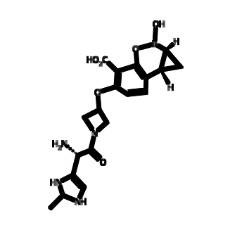 CC1NC=C([C@H](N)C(=O)N2CC(Oc3ccc4c(c3C(=O)O)OB(O)[C@@H]3C[C@H]43)C2)N1